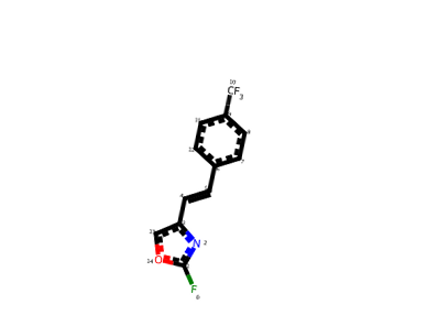 Fc1nc(C=Cc2ccc(C(F)(F)F)cc2)co1